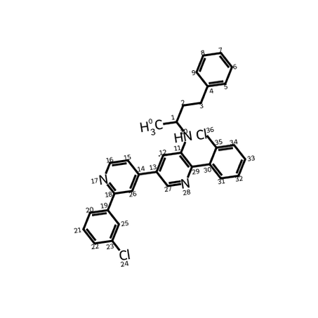 CC(CCc1ccccc1)Nc1[c]c(-c2ccnc(-c3cccc(Cl)c3)c2)cnc1-c1ccccc1Cl